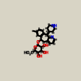 Cc1ccc2c(c1)C(OC1OC(C(=O)O)C(O)C(O)C1O)Cc1cccnc1C2=C1CCNCC1